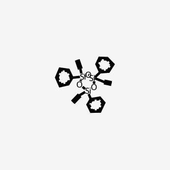 C#C[Si]1(c2ccccc2)O[Si](C#C)(c2ccccc2)O[Si](C#C)(c2ccccc2)O1